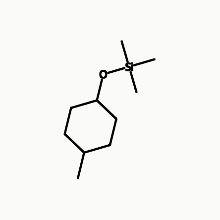 CC1CCC(O[Si](C)(C)C)CC1